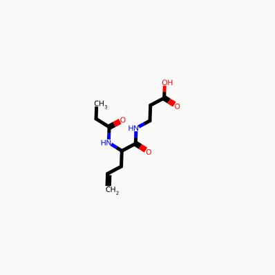 C=CCC(NC(=O)CC)C(=O)NCCC(=O)O